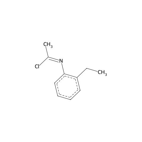 CCc1ccccc1/N=C(/C)Cl